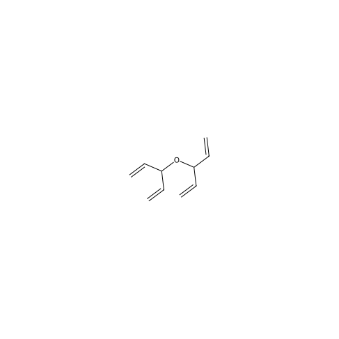 C=CC(C=C)OC(C=C)C=C